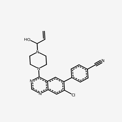 C=CC(O)N1CCN(c2ncnc3cc(Cl)c(-c4ccc(C#N)cc4)cc23)CC1